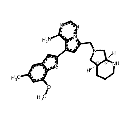 COc1cc(C)cc2cc(-c3cc(CN4C[C@@H]5CCCN[C@@H]5C4)n4ncnc(N)c34)sc12